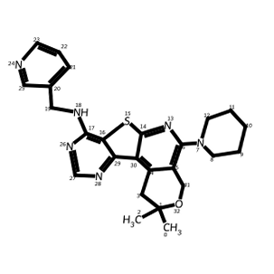 CC1(C)Cc2c(c(N3CCCCC3)nc3sc4c(NCc5cccnc5)ncnc4c23)CO1